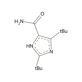 CC(C)(C)c1nc(C(C)(C)C)c(C(N)=O)[nH]1